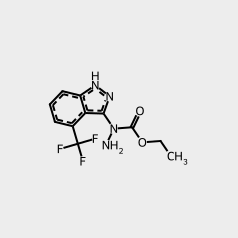 CCOC(=O)N(N)c1n[nH]c2cccc(C(F)(F)F)c12